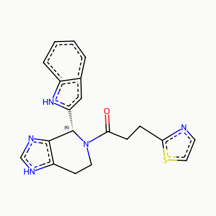 O=C(CCc1nccs1)N1CCc2[nH]cnc2[C@@H]1c1cc2ccccc2[nH]1